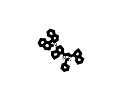 c1ccc(-c2nc(-c3cccc4ccccc34)cc(-c3ccc(-n4c5ccc6ccccc6c5c5c6ccccc6ccc54)c4ccccc34)n2)cc1